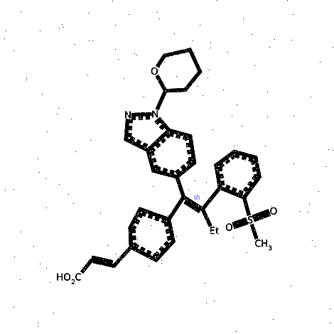 CC/C(=C(\c1ccc(C=CC(=O)O)cc1)c1ccc2c(cnn2C2CCCCO2)c1)c1ccccc1S(C)(=O)=O